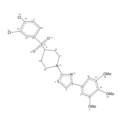 COc1cc(-c2csc(N3CCC(S(=O)(=O)c4ccc(Cl)c(Cl)c4)CC3)n2)cc(OC)c1OC